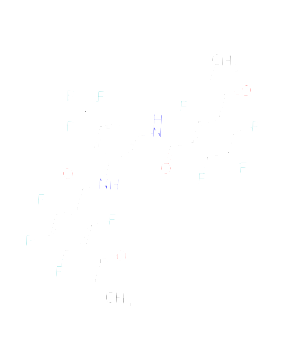 CCC(=O)c1c(F)c(F)c(F)c(C(=O)Nc2cc(NC(=O)c3c(F)c(F)c(F)c(C(=O)CC)c3F)cc(C(F)(F)F)c2)c1F